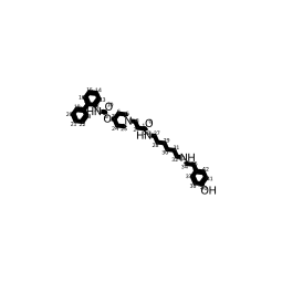 O=C(CCN1CCC(OC(=O)Nc2ccccc2-c2ccccc2)CC1)NCCCCCCNCCc1ccc(O)cc1